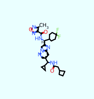 Cc1nonc1C(=O)N[C@H](c1cn2ncc(C(NC(=O)CC3CCC3)C3CC3)cc2n1)C1CCC(F)(F)CC1